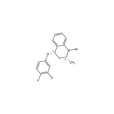 CC(=O)N1c2ccccc2[C@@H](Oc2ccc(F)c(F)c2)C[C@H]1C